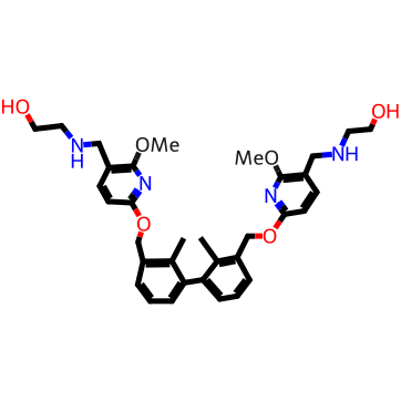 COc1nc(OCc2cccc(-c3cccc(COc4ccc(CNCCO)c(OC)n4)c3C)c2C)ccc1CNCCO